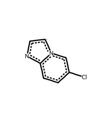 Clc1ccc2nc[c]n2c1